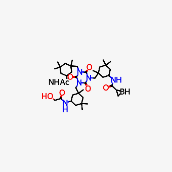 CC(=O)NC1CC(C)(C)CC(C)(Cn2c(=O)n(CC3(C)CC(NC(=O)CO)CC(C)(C)C3)c(=O)n(CC3(C)CC(NC(=O)C4BC4)CC(C)(C)C3)c2=O)C1